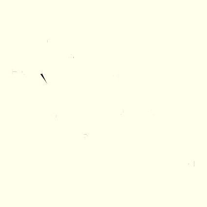 CC(C(=O)O)[C@@H]1COc2c1cc(Cl)c(OCc1ccc(Cl)cc1Cl)c2Br